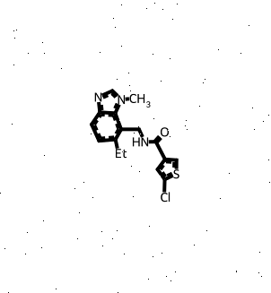 CCc1ccc2ncn(C)c2c1CNC(=O)c1csc(Cl)c1